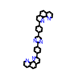 c1cnc2c(c1)ccc1ccc(-c3ccc(-c4cnc(-c5ccc(-c6ccc7ccc8cccnc8c7n6)cc5)nc4)cc3)nc12